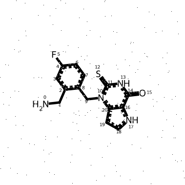 NCc1cc(F)ccc1Cn1c(=S)[nH]c(=O)c2[nH]ccc21